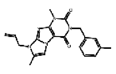 C=CCn1c(C)cn2c3c(=O)n(Cc4cccc(C)c4)c(=O)n(C)c3nc12